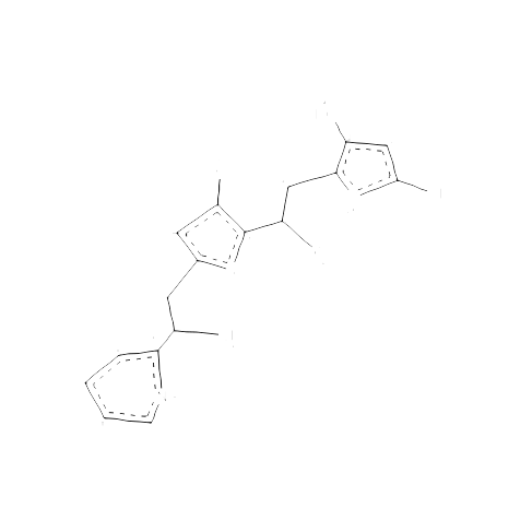 Cc1cc(C)c(CC(C)c2sc(CC(C)c3ccccn3)cc2C)s1